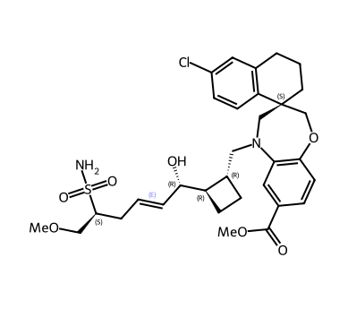 COC[C@H](C/C=C/[C@H](O)[C@@H]1CC[C@H]1CN1C[C@@]2(CCCc3cc(Cl)ccc32)COc2ccc(C(=O)OC)cc21)S(N)(=O)=O